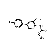 CC(C)(C)OC(=O)Nc1ccc(-c2ccc(F)nc2)cc1N